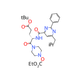 CCOC(=O)ON1CCN(C(=O)[C@H](CCC(=O)OC(C)(C)C)NC(=O)c2cc(CC(C)C)nc(-c3ccccc3)n2)CC1